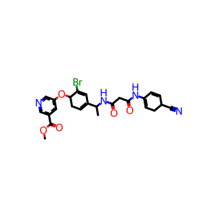 COC(=O)c1cncc(OC2CC=C(C(C)NC(=O)CC(=O)NC3=CCC(C#N)C=C3)C=C2Br)c1